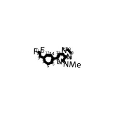 CNc1nc(C2=CCCC(CC(F)F)C=C2)cc2c1=NCCN=2